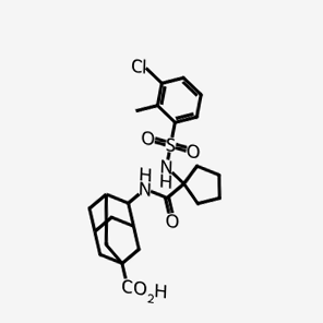 Cc1c(Cl)cccc1S(=O)(=O)NC1(C(=O)NC2C3CC4CC2CC(C(=O)O)(C4)C3)CCCC1